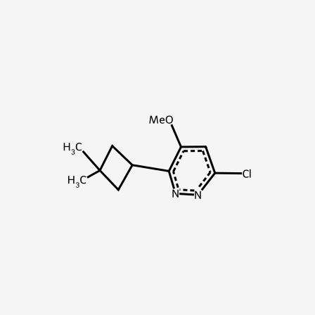 COc1cc(Cl)nnc1C1CC(C)(C)C1